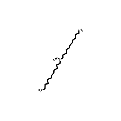 CCCCCCCCCCCCN(CCCCCCCCCCCC)N=O